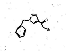 O=C(CBr)c1cnn(Cc2ccccc2)c1